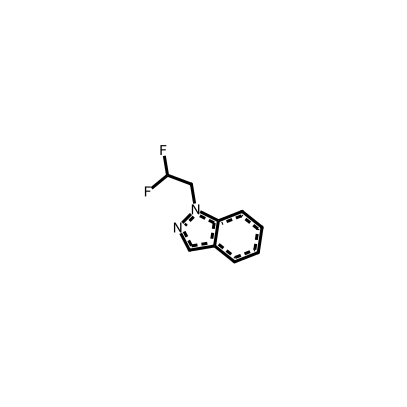 FC(F)Cn1ncc2ccccc21